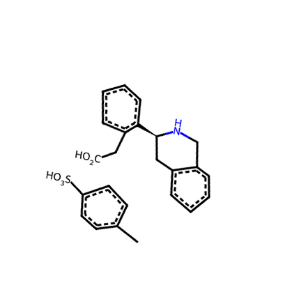 Cc1ccc(S(=O)(=O)O)cc1.O=C(O)Cc1ccccc1[C@@H]1Cc2ccccc2CN1